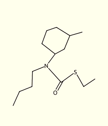 CCCCN(C(=O)SCC)C1CCCC(C)C1